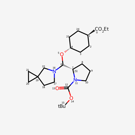 CCOC(=O)[C@H]1CC[C@H](OC([C@@H]2CCCN2C(=O)OC(C)(C)C)N2CCC3(CC3)C2)CC1